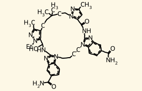 CCn1nc(C)c2c1C(O)Nc1nc3cc(C(N)=O)ccc3n1CCCCn1c(nc3cc(C(N)=O)ccc31)NC(=O)c1cc(C)nn1CCC(C)(C)CC2